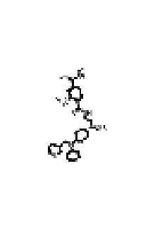 Cc1cc(C(=O)NC(C)C)ccc1C(=O)NCCC(C)N1CCC(N(Cc2cccnc2)c2ccccc2)CC1